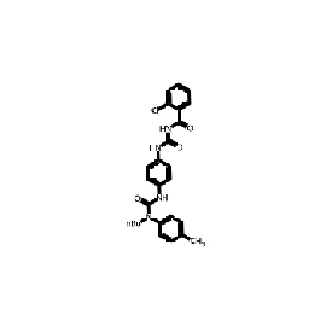 CCCCN(C(=O)Nc1ccc(NC(=O)NC(=O)c2ccccc2Cl)cc1)c1ccc(C)cc1